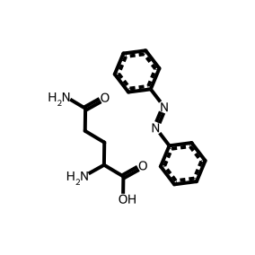 NC(=O)CCC(N)C(=O)O.c1ccc(N=Nc2ccccc2)cc1